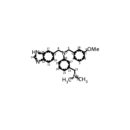 COc1cccc(CN(Cc2ccc3nc[nH]c3c2)c2cccc(CN(C)C)c2)c1